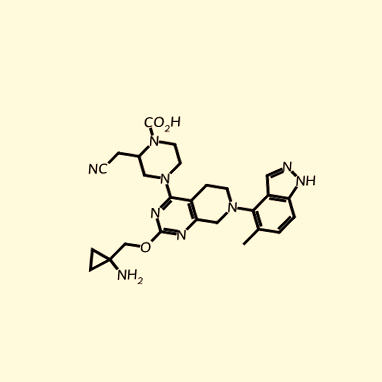 Cc1ccc2[nH]ncc2c1N1CCc2c(nc(OCC3(N)CC3)nc2N2CCN(C(=O)O)C(CC#N)C2)C1